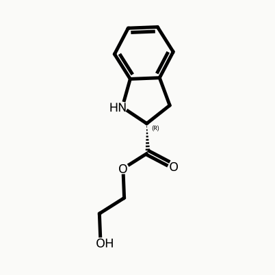 O=C(OCCO)[C@H]1Cc2ccccc2N1